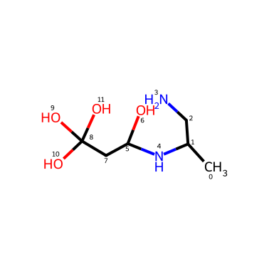 CC(CN)NC(O)CC(O)(O)O